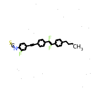 CCCCc1ccc(C(F)=C(F)c2ccc(C#Cc3ccc(N=C=S)c(F)c3)cc2)cc1